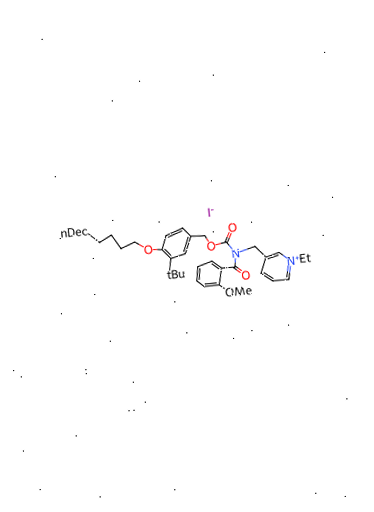 CCCCCCCCCCCCCCOc1ccc(COC(=O)N(Cc2ccc[n+](CC)c2)C(=O)c2ccccc2OC)cc1C(C)(C)C.[I-]